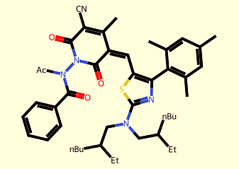 CCCCC(CC)CN(CC(CC)CCCC)c1nc(-c2c(C)cc(C)cc2C)c(/C=C2\C(=O)N(N(C(C)=O)C(=O)c3ccccc3)C(=O)C(C#N)=C2C)s1